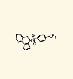 O=S(=O)(c1ccc(C(F)(F)F)cc1)N1Cc2ccccc2-c2sccc21